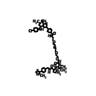 Cc1ncsc1-c1ccc(CNC(=O)C2CCCN2C(=O)C(NC(=O)COCCOCCOCCOCCNC(=O)c2ccc(-c3ccc4c(c3)C(Nc3ccc(Cl)cc3)CC(C)N4C)cc2)C(C)(C)C)cc1